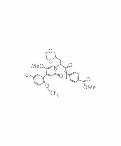 COC(=O)c1ccc(NC(=O)C(CC2COCCO2)n2cc(OC)c(-c3cc(Cl)ccc3OCC(F)(F)F)cc2=O)cc1